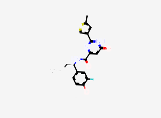 COC[C@@H](NC(=O)c1cc(=O)[nH]c(-c2csc(C)c2)n1)c1ccc(OC(F)(F)F)c(F)c1